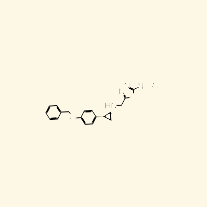 CC(=O)Nc1nnc(CN[C@@H]2C[C@H]2c2ccc(OCc3ccccc3)cc2)o1